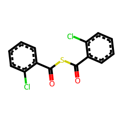 O=C(SC(=O)c1ccccc1Cl)c1ccccc1Cl